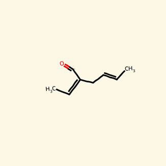 CC=CCC([C]=O)=CC